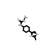 Cc1ncc(C2CCC(NC(=O)OC(C)(C)C)CC2)o1